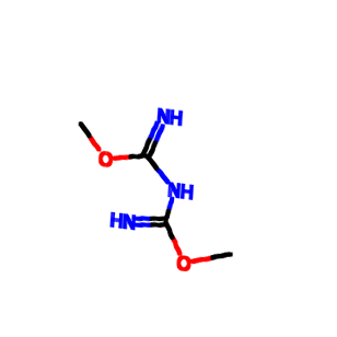 COC(=N)NC(=N)OC